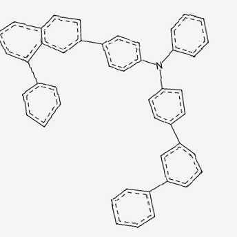 c1ccc(-c2cccc(-c3ccc(N(c4ccccc4)c4ccc(-c5ccc6cccc(-c7ccccc7)c6c5)cc4)cc3)c2)cc1